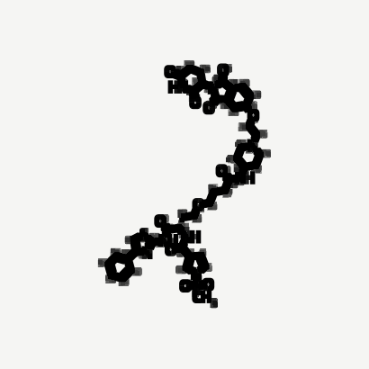 CS(=O)(=O)n1ccc(C(=O)N[C@@H](CCOCCCC(=O)NC2CCN(CCOc3ccc4c(c3)C(=O)N(C3CCC(=O)NC3=O)C4=O)CC2)C(=O)Nc2nc(-c3ccccc3)cs2)c1